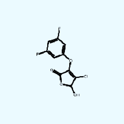 O=C1OC(O)C(Cl)=C1Oc1cc(F)cc(F)c1